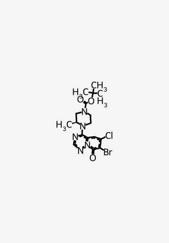 C[C@H]1CN(C(=O)OC(C)(C)C)CCN1c1ncnn2c(=O)c(Br)c(Cl)cc12